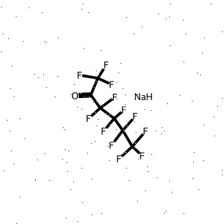 O=C(C(F)(F)F)C(F)(F)C(F)(F)C(F)(F)C(F)(F)F.[NaH]